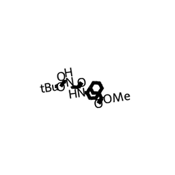 COC(=O)C12CCCC(C1)C(NC(=O)CNC(=O)OC(C)(C)C)CC2